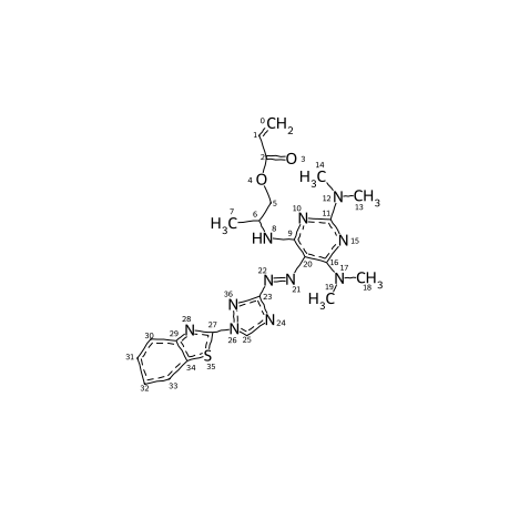 C=CC(=O)OCC(C)Nc1nc(N(C)C)nc(N(C)C)c1N=Nc1ncn(-c2nc3ccccc3s2)n1